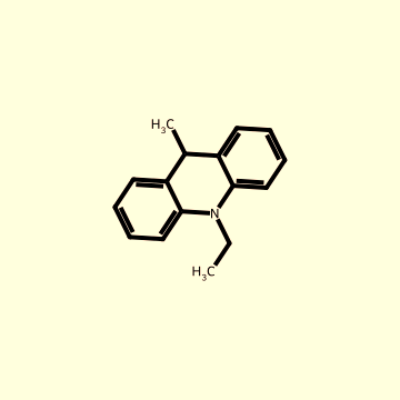 CCN1c2ccccc2C(C)c2ccccc21